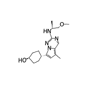 COC[C@H](C)Nc1ncc2c(C)cc([C@H]3CC[C@H](O)CC3)n2n1